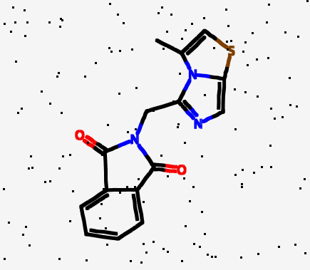 Cc1csc2cnc(CN3C(=O)c4ccccc4C3=O)n12